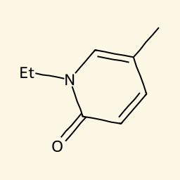 CCn1cc(C)ccc1=O